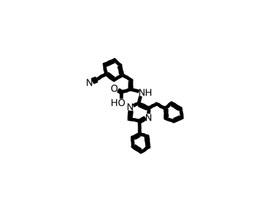 N#Cc1cccc(/C=C(/Nc2ncc(-c3ccccc3)nc2Cc2ccccc2)C(=O)O)c1